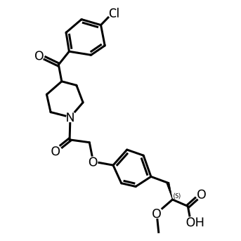 CO[C@@H](Cc1ccc(OCC(=O)N2CCC(C(=O)c3ccc(Cl)cc3)CC2)cc1)C(=O)O